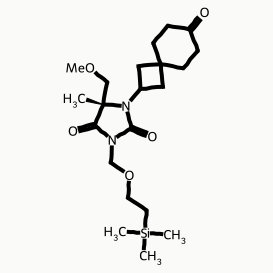 COC[C@@]1(C)C(=O)N(COCC[Si](C)(C)C)C(=O)N1C1CC2(CCC(=O)CC2)C1